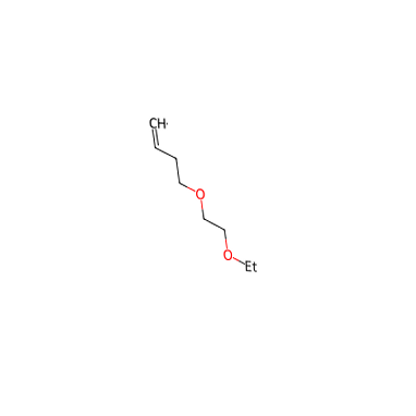 [CH]=CCCOCCOCC